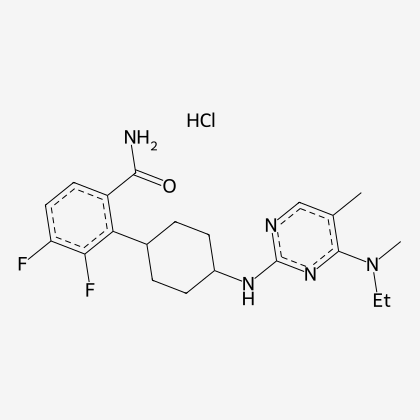 CCN(C)c1nc(NC2CCC(c3c(C(N)=O)ccc(F)c3F)CC2)ncc1C.Cl